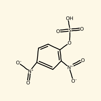 O=[N+]([O-])c1ccc(OS(=O)(=O)O)c([N+](=O)[O-])c1